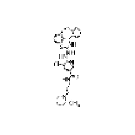 CC1CCCCN1CCCNC(=O)c1cnc(NNC(=S)NC2c3ccccc3CCc3ccccc32)c(Cl)c1